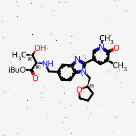 Cc1cc(-c2nc3cc(CN[C@@H](C(=O)OCC(C)C)[C@@H](C)O)ccc3n2C[C@H]2CCCO2)cn(C)c1=O